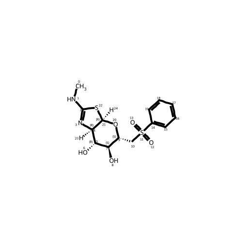 CNC1=N[C@@H]2[C@@H](O)[C@H](O)[C@@H](CS(=O)(=O)c3ccccc3)O[C@@H]2S1